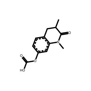 CC1Cc2ccc(OC(=O)O)cc2N(C)C1=O